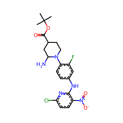 CC(C)(C)OC(=O)C1CCN(c2ccc(Nc3nc(Cl)ccc3[N+](=O)[O-])cc2F)C(N)C1